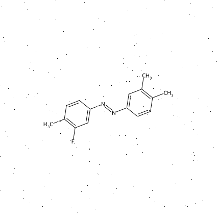 Cc1ccc(N=Nc2ccc(C)c(F)c2)cc1C